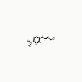 O=[N+]([O-])c1ccc(CC=CCCl)cc1